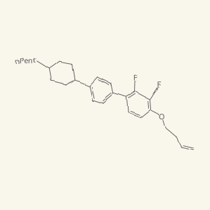 C=CCCOc1ccc(-c2ccc(C3CCC(CCCCC)CC3)cc2)c(F)c1F